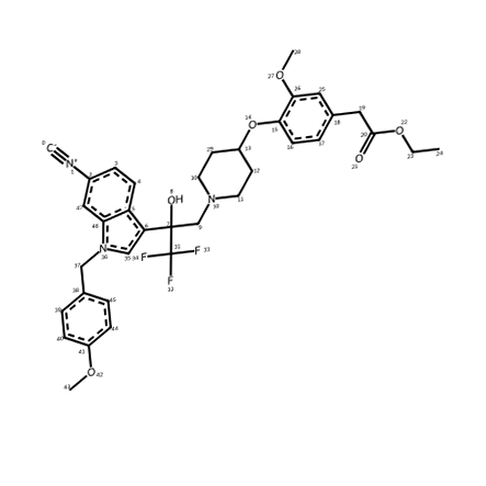 [C-]#[N+]c1ccc2c(C(O)(CN3CCC(Oc4ccc(CC(=O)OCC)cc4OC)CC3)C(F)(F)F)cn(Cc3ccc(OC)cc3)c2c1